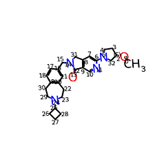 CO[C@H]1CCN(c2cc3c(cn2)C(=O)N(Cc2ccc4c(c2)CCN(C2CCC2)CC4)C3)C1